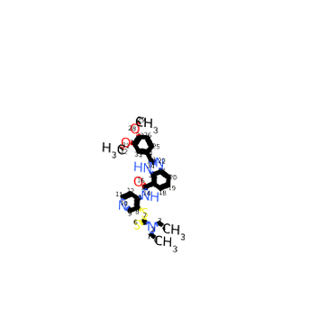 CCN(CC)C(=S)Sc1cnccc1NC(=O)c1cccc2nc(-c3ccc(OC)c(OC)c3)[nH]c12